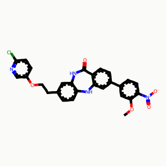 COc1cc(-c2ccc3c(c2)Nc2ccc(CCOc4ccc(Cl)nc4)cc2NC3=O)ccc1[N+](=O)[O-]